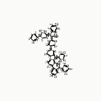 c1ccc(-c2ccc(-n3c(-c4ccc(-c5ccc6c7ccc8c9ccccc9c(-c9ccccc9)nc8c7n(-c7ccccc7)c6c5)cc4)nc4ccccc43)cc2)cc1